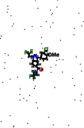 COc1ccc(-c2nn(CC(F)F)c3ccc(C(=O)N4CC(F)(F)C4)cc23)cc1Cl